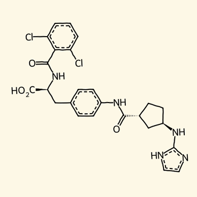 O=C(N[C@@H](Cc1ccc(NC(=O)[C@@H]2CC[C@@H](Nc3ncc[nH]3)C2)cc1)C(=O)O)c1c(Cl)cccc1Cl